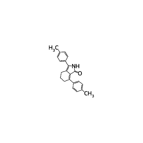 Cc1ccc(C2=C3C(=O)NC(c4ccc(C)cc4)=C3CCC2)cc1